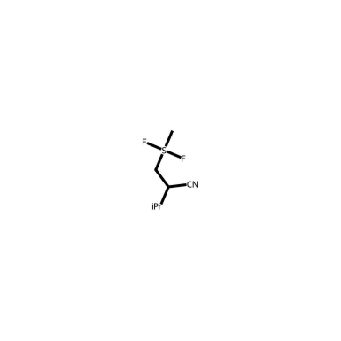 CC(C)C(C#N)CS(C)(F)F